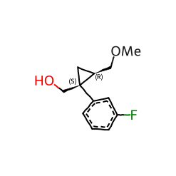 COC[C@@H]1C[C@@]1(CO)c1cccc(F)c1